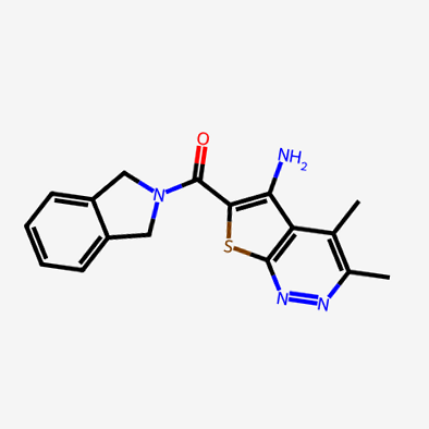 Cc1nnc2sc(C(=O)N3Cc4ccccc4C3)c(N)c2c1C